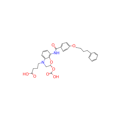 O=C(O)CCCN1C[C@H](OC(=O)O)Oc2c(NC(=O)c3ccc(OCCCCc4ccccc4)cc3)cccc21